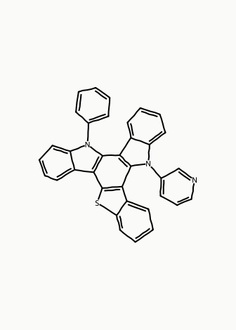 c1ccc(-n2c3ccccc3c3c4sc5ccccc5c4c4c(c5ccccc5n4-c4cccnc4)c32)cc1